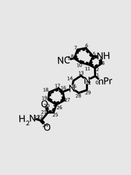 CCCC(c1c[nH]c2ccc(C#N)cc12)N1CCN(c2ccc3oc(C(N)=O)cc3c2)CC1